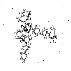 c1ccc(-c2ccc(-c3ccc(-c4nc(-c5ccc6ccccc6c5)nc(-c5cccc6oc7c(-c8ccc(-c9ccccc9)cc8)cccc7c56)n4)cc3)cc2)cc1